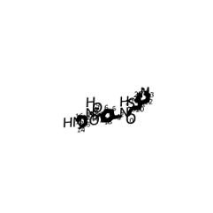 O=C(NCc1ccc(S(=O)(=O)NC2CCNC2)cc1)c1cc2ccncc2s1